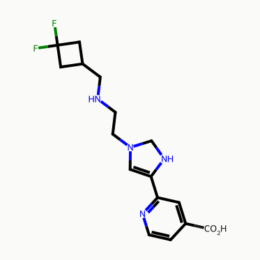 O=C(O)c1ccnc(C2=CN(CCNCC3CC(F)(F)C3)CN2)c1